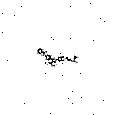 CN(CC=CC(=O)N1CC2CC(n3nc(-c4ccc(NC(=O)c5ccccc5)cc4)c4c(N)ncnc43)CC2C1)C1CC1